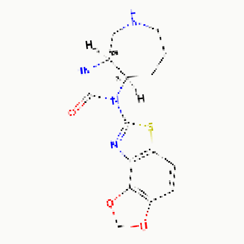 O=C1N[C@H]2CNCCC[C@H]2N1c1nc2c3c(ccc2s1)OCO3